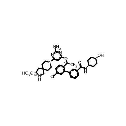 Nc1nc(O[C@H](c2ccc(Cl)cc2-c2cccc(C(=O)N[C@H]3CC[C@H](O)CC3)c2)C(F)(F)F)cc(N2CCC3(CC2)CN[C@H](C(=O)O)C3)n1